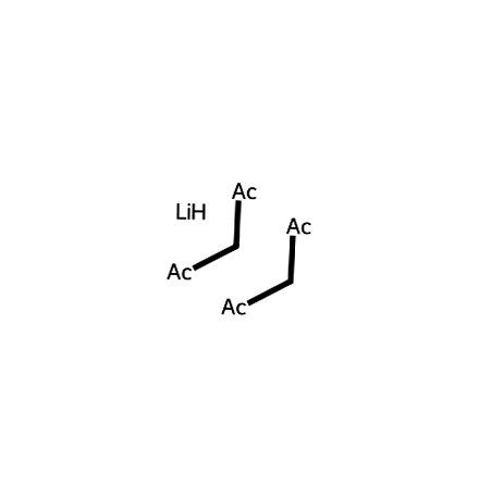 CC(=O)CC(C)=O.CC(=O)CC(C)=O.[LiH]